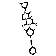 Cc1nccc(N2CCN3C(=O)N(c4c(F)cc(C#Cc5ccccc5)cc4F)C(=O)CC3(C)C2=O)n1